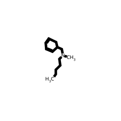 CCCCCN(C)CC1C=CC=CC1